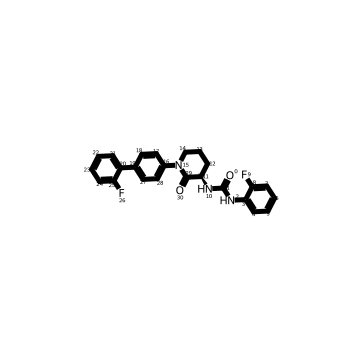 O=C(Nc1ccccc1F)N[C@@H]1CCCN(c2ccc(-c3ccccc3F)cc2)C1=O